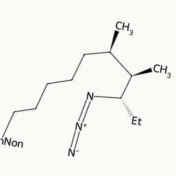 CCCCCCCCCCCCCC[C@@H](C)[C@@H](C)[C@H](CC)N=[N+]=[N-]